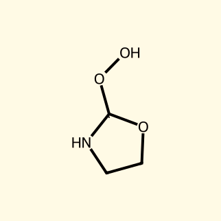 OO[C]1NCCO1